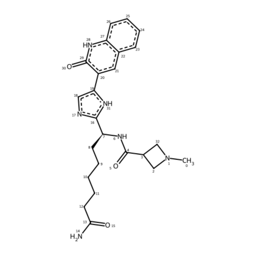 CN1CC(C(=O)N[C@@H](CCCCCC(N)=O)c2ncc(-c3cc4ccccc4[nH]c3=O)[nH]2)C1